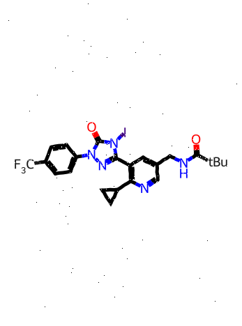 CC(C)(C)C(=O)NCc1cnc(C2CC2)c(-c2nn(-c3ccc(C(F)(F)F)cc3)c(=O)n2I)c1